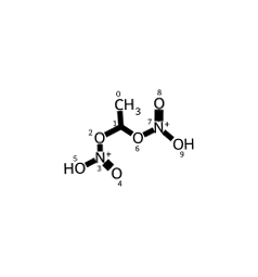 CC(O[N+](=O)O)O[N+](=O)O